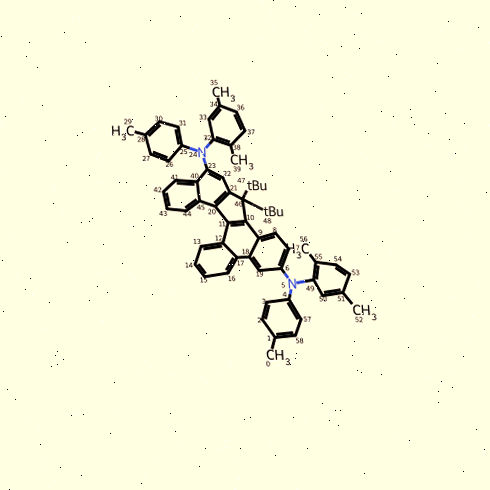 Cc1ccc(N(c2ccc3c4c(c5ccccc5c3c2)-c2c(cc(N(c3ccc(C)cc3)c3cc(C)ccc3C)c3ccccc23)C4(C(C)(C)C)C(C)(C)C)c2cc(C)ccc2C)cc1